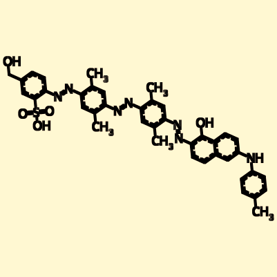 Cc1ccc(Nc2ccc3c(O)c(N=Nc4cc(C)c(N=Nc5cc(C)c(N=Nc6ccc(CO)cc6S(=O)(=O)O)cc5C)cc4C)ccc3c2)cc1